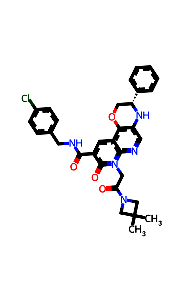 CC1(C)CN(C(=O)Cn2c(=O)c(C(=O)NCc3ccc(Cl)cc3)cc3c4c(cnc32)N[C@@H](c2ccccc2)CO4)C1